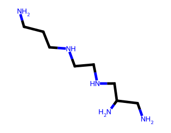 NCCCNCCNCC(N)CN